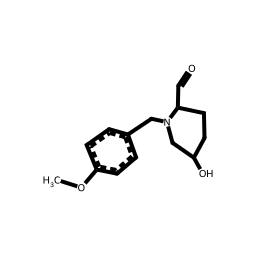 COc1ccc(CN2CC(O)CCC2C=O)cc1